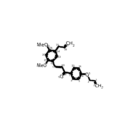 C=CCOc1ccc(C(=O)C=Cc2cc(CC=C)c(OC)cc2OC)cc1